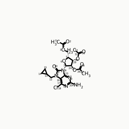 CC(=O)OC[C@H]1O[C@@H](n2c(=O)n(CC3CC3)c3c(Cl)nc(N)nc32)[C@H](OC(C)=O)[C@H]1OC(C)=O